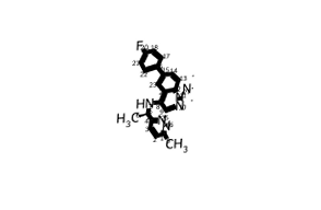 Cc1ccc([C@@H](C)Nc2cnnc3ccc(-c4ccc(F)cc4)cc23)nn1.[N]